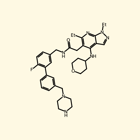 CCc1nc2c(cnn2CC)c(NC2CCOCC2)c1CC(=O)NCc1ccc(F)c(-c2cccc(CN3CCNCC3)c2)c1